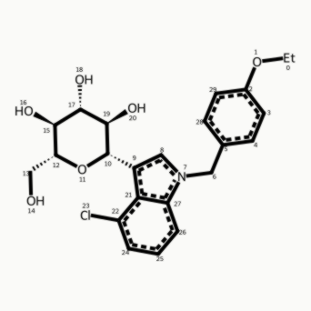 CCOc1ccc(Cn2cc([C@@H]3O[C@H](CO)[C@@H](O)[C@H](O)[C@H]3O)c3c(Cl)cccc32)cc1